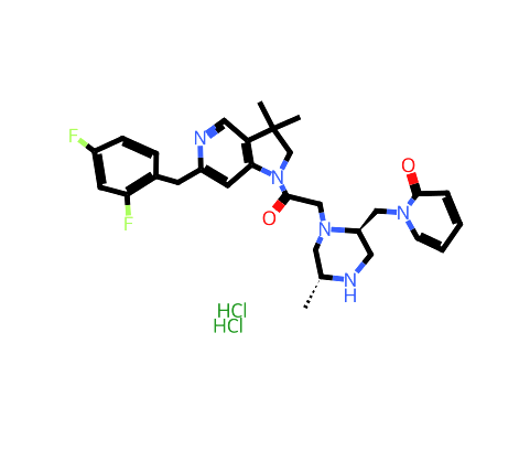 C[C@@H]1CN(CC(=O)N2CC(C)(C)c3cnc(Cc4ccc(F)cc4F)cc32)[C@@H](Cn2ccccc2=O)CN1.Cl.Cl